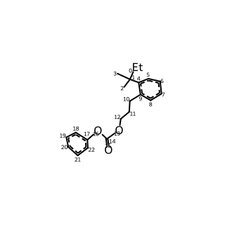 CCC(C)(C)c1ccccc1CCCOC(=O)Oc1ccccc1